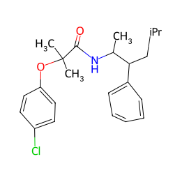 CC(C)CC(c1ccccc1)C(C)NC(=O)C(C)(C)Oc1ccc(Cl)cc1